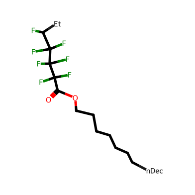 CCCCCCCCCCCCCCCCCOC(=O)C(F)(F)C(F)(F)C(F)(F)C(F)CC